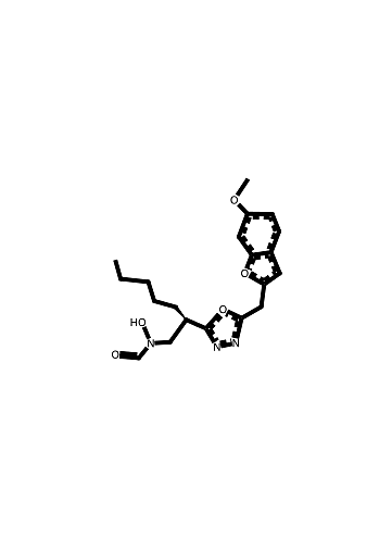 CCCCC[C@H](CN(O)C=O)c1nnc(Cc2cc3ccc(OC)cc3o2)o1